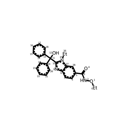 CCONC(=O)c1ccc2nc(C(O)(c3ccccc3)c3ccccc3)n(CC)c2c1